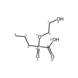 CCCP(=O)(OCCO)C(=O)O